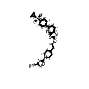 CC(C)c1noc(N2CCC(CCOc3nc4ccc(-c5ccc(S(=O)(=O)C6CC6)cc5)nc4s3)CC2)n1